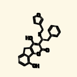 O=c1oc2c(c(O)c1C(Cc1ccccc1)SCc1ccoc1)Cc1cccc(O)c1-2